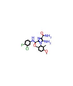 COc1ccc(C)c(-n2c(C(=O)Nc3ccc(F)c(Cl)c3)nc(C(N)=O)c2N)c1C